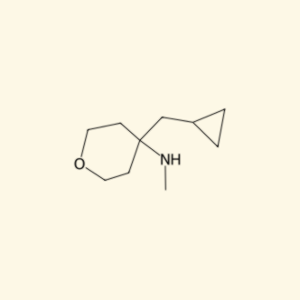 CNC1(CC2CC2)CCOCC1